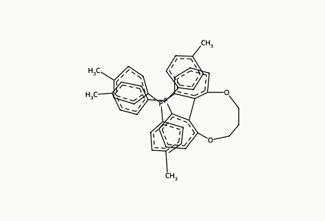 Cc1ccc(P(c2ccc(C)cc2)c2cccc3c2-c2c(cccc2P(c2ccc(C)cc2)c2ccc(C)cc2)OCCCO3)cc1